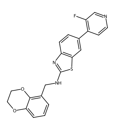 Fc1cnccc1-c1ccc2nc(NCc3cccc4c3OCCO4)sc2c1